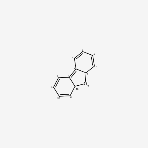 C1=CC2=C3C=CC=CC3OC2C=C1